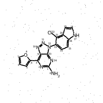 Nc1nc(-c2ccco2)c2nnn(-c3ccc4[nH]ccc4c3Cl)c2n1